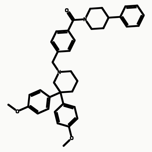 COc1ccc(C2(c3ccc(OC)cc3)CCCN(Cc3ccc(C(=O)N4CCC(c5ccccc5)CC4)cc3)C2)cc1